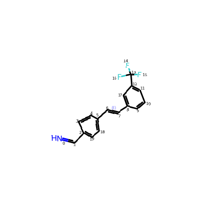 N=Cc1ccc(/C=C/c2cccc(C(F)(F)F)c2)cc1